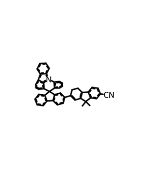 CC1(C)C2=C(CCC(c3ccc4c(c3)C3(c5ccccc5-4)c4ccccc4-n4c5ccccc5c5cccc3c54)=C2)c2ccc(C#N)cc21